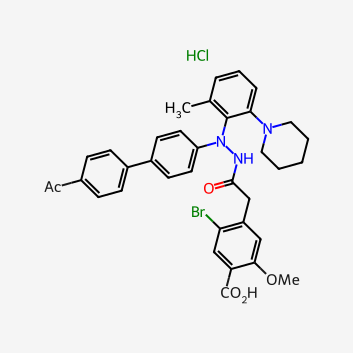 COc1cc(CC(=O)NN(c2ccc(-c3ccc(C(C)=O)cc3)cc2)c2c(C)cccc2N2CCCCC2)c(Br)cc1C(=O)O.Cl